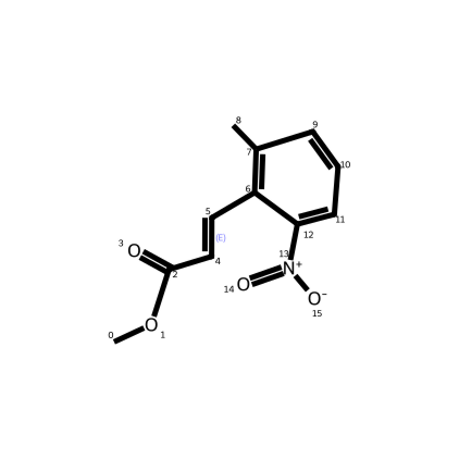 COC(=O)/C=C/c1c(C)cccc1[N+](=O)[O-]